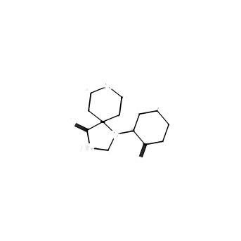 O=C1CCCCC1N1CNC(=O)C12CCNCC2